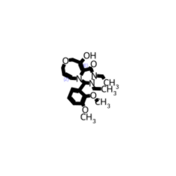 CCN1C(=O)/C2=C(\O)COC/C=C\N2C(c2cccc(OC)c2OC)N1CC